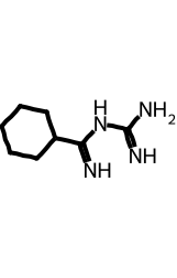 N=C(N)NC(=N)C1CCCCC1